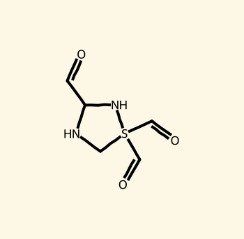 O=CC1NCS(C=O)(C=O)N1